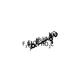 CCc1cc(CN(CCCCOCCNc2cc(CC(=O)O)cc3c2cnn3C2CCCCO2)C(=O)OC(C)(C)C)cc(F)c1OC(F)(F)F